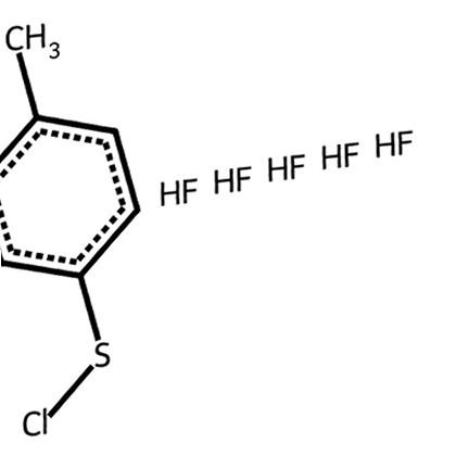 Cc1ccc(SCl)cc1.F.F.F.F.F